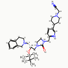 CC(C)(C)[Si](C)(C)O[C@H](CN1CCc2ccccc2C1)CN1CCN(Cc2ccc(C3CCN(CC#N)CC3)cn2)C1=O